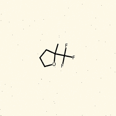 CC1(C(F)(F)F)CCCO1